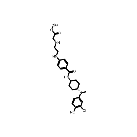 CN(c1ccc(C#N)c(Cl)c1)[C@H]1CC[C@H](NC(=O)c2ccc(NCCNCC(=O)OC(C)(C)C)cc2)CC1